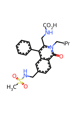 CC(C)Cn1c(CNC(=O)O)c(-c2ccccc2)c2cc(CNS(C)(=O)=O)ccc2c1=O